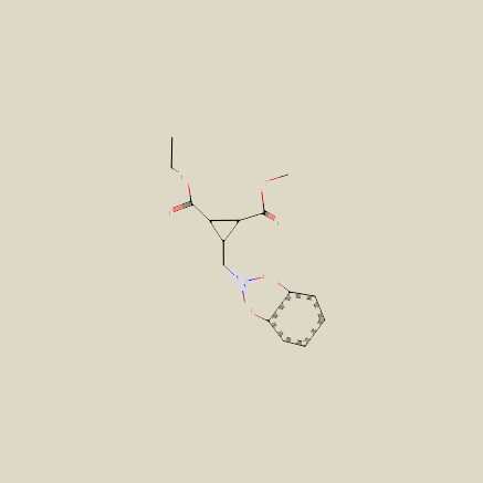 CCOC(=O)C1C(CN2Oc3ccccc3O2)C1C(=O)OC